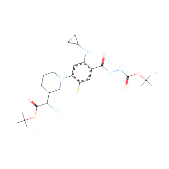 CC(C)(C)OC(=O)NNC(=O)c1cc(F)c(N2CCCC(C(N)C(=O)OC(C)(C)C)C2)cc1NC1CC1